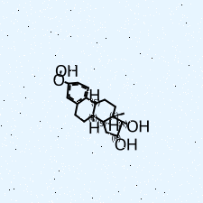 C[C@]12CC[C@@H]3c4ccc(OO)cc4CC[C@H]3[C@@H]1C[C@@H](O)[C@@H]2O